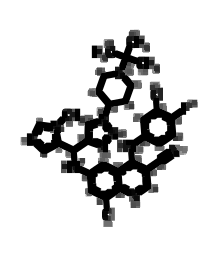 Cn1cncc1C(Nc1cc(Cl)c2ncc(C#N)c(Nc3ccc(F)c(Cl)c3)c2c1)c1cn(C2CCN(C(C)(C)C)CC2)nn1